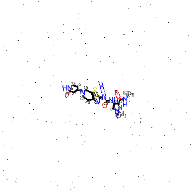 CC(C)NC(=O)c1nn(C)cc1NC(=O)Nc1nc2c(s1)CN(c1cc[nH]c(=O)c1)CC2